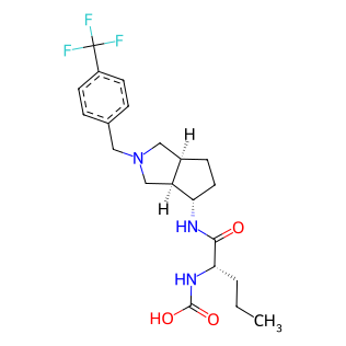 CCC[C@H](NC(=O)O)C(=O)N[C@H]1CC[C@@H]2CN(Cc3ccc(C(F)(F)F)cc3)C[C@@H]21